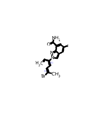 C=C/C(=C\C=C(/C)Br)n1cc2cc(I)cc(C(N)=O)c2n1